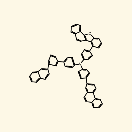 c1cc(-c2ccc(N(c3ccc(-c4ccc5c(ccc6ccccc65)c4)cc3)c3ccc(-c4cccc5oc6c7ccccc7ccc6c45)cc3)cc2)cc(-c2ccc3ccccc3c2)c1